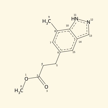 COC(=O)[CH]Cc1cc(C)c2[nH]ncc2c1